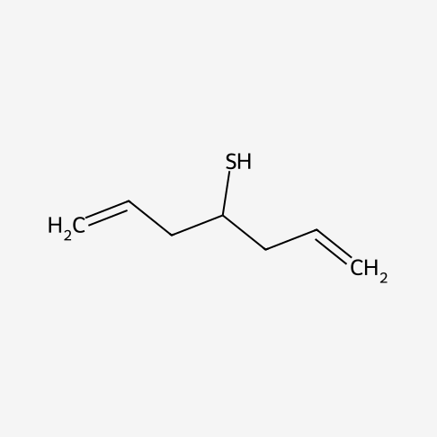 C=CCC(S)CC=C